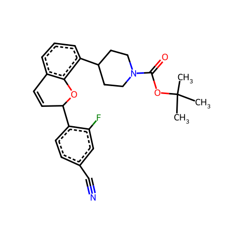 CC(C)(C)OC(=O)N1CCC(c2cccc3c2OC(c2ccc(C#N)cc2F)C=C3)CC1